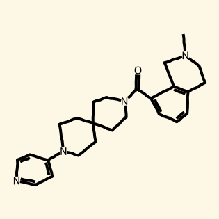 CN1CCc2cccc(C(=O)N3CCC4(CC3)CCN(c3ccncc3)CC4)c2C1